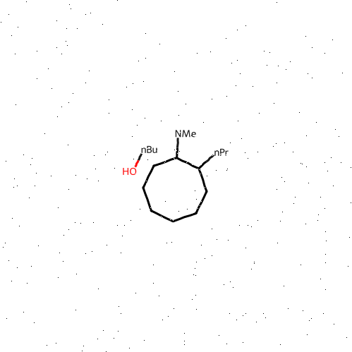 CCCC1CCCCCCC1NC.CCCCO